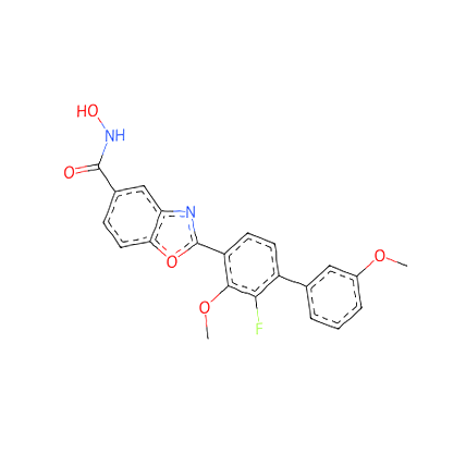 COc1cccc(-c2ccc(-c3nc4cc(C(=O)NO)ccc4o3)c(OC)c2F)c1